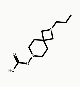 CCCN1CC2(CCN(OC(=O)O)CC2)C1